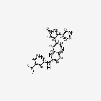 CC(C)c1cnnc(Nc2ccc3ncc(-c4cn(C)nc4-c4cncs4)cc3n2)c1